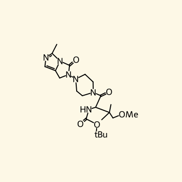 COCC(C)(C)C(NC(=O)OC(C)(C)C)C(=O)N1CCN(N2Cc3cnc(C)n3C2=O)CC1